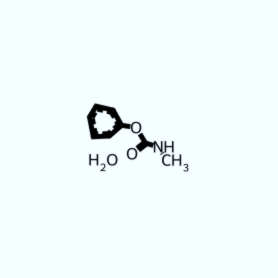 CNC(=O)Oc1ccccc1.O